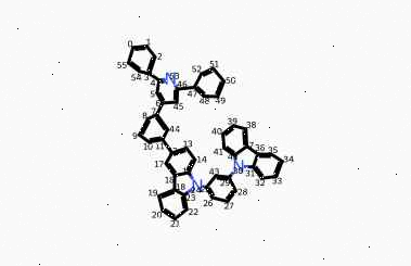 c1ccc(-c2cc(-c3cccc(-c4ccc5c(c4)c4ccccc4n5-c4cccc(-n5c6ccccc6c6ccccc65)c4)c3)cc(-c3ccccc3)n2)cc1